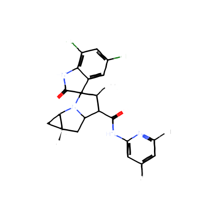 O=C(Nc1cc(C(F)(F)F)cc(C(F)(F)F)n1)C1C2C[C@]3(C(F)(F)F)CC3N2C2(C(=O)Nc3c(Cl)cc(Cl)cc32)C1C(=O)O